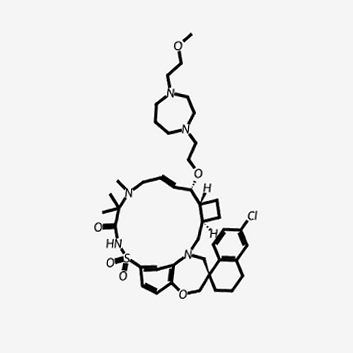 COCCN1CCCN(CCO[C@H]2/C=C/CN(C)C(C)(C)C(=O)NS(=O)(=O)c3ccc4c(c3)N(C[C@@H]3CC[C@H]32)C[C@@]2(CCCc3cc(Cl)ccc32)CO4)CC1